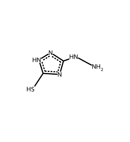 NNc1n[nH]c(S)n1